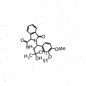 CCOc1cc(C(CC(C)(C)O)N2C(=O)c3[c]cccc3C2C(N)=O)ccc1OC